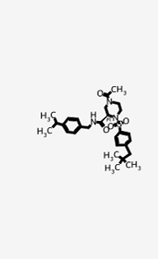 CC(=O)N1CCN(S(=O)(=O)c2ccc(CC(C)(C)C)cc2)[C@@H](C(=O)NCc2ccc(C(C)C)cc2)C1